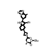 Cc1cc(-c2[nH]c3ccc(C4CN(C(=O)CN(C)C(=O)OC(C)(C)C)C4)cc3c2C(C)C)cn2ncnc12